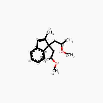 COC(C)CC1(CC(C)OC)C(C)=Cc2ccccc21